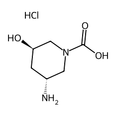 Cl.N[C@@H]1C[C@@H](O)CN(C(=O)O)C1